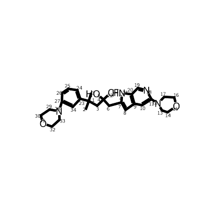 CC(C)(CC(O)(Cc1cc2cc(N3CCOCC3)ncc2[nH]1)C(F)(F)F)c1cccc(N2CCOCC2)c1